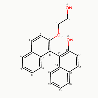 OCCOc1ccc2ccccc2c1-c1c(O)ccc2ccccc12